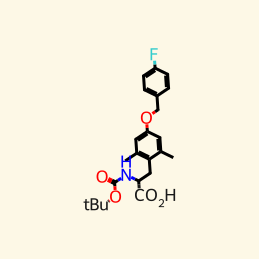 Cc1cc(OCc2ccc(F)cc2)cc(C)c1CC(NC(=O)OC(C)(C)C)C(=O)O